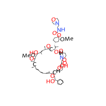 CO[C@@H]1C[C@H](CC(C)[C@@H]2CC(=O)[C@H](C)/C=C(\C)[C@@H](O)[C@@H](OC)C(=O)[C@H](C)C[C@H](C)/C=C/C=C/C=C(\C)C(OCC(O)c3ccccc3)C[C@@H]3CC[C@@H](C)[C@@](O)(O3)C(=O)C(=O)N3CCCC[C@H]3C(=O)O2)CC[C@H]1OC(=O)NCCN1CCOCC1